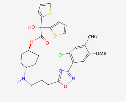 COc1cc(-c2noc(CCCN(C)[C@H]3CC[C@H](OC(=O)C(O)(c4cccs4)c4cccs4)CC3)n2)c(Cl)cc1C=O